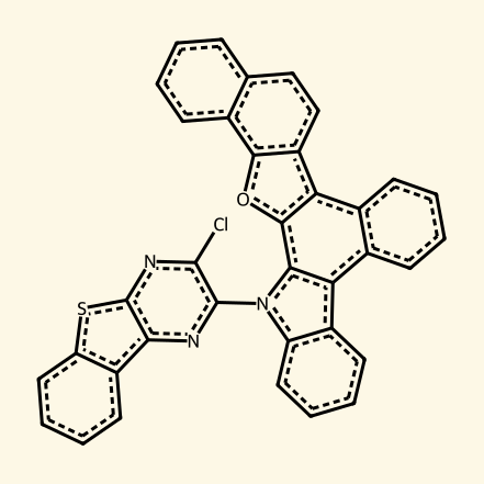 Clc1nc2sc3ccccc3c2nc1-n1c2ccccc2c2c3ccccc3c3c4ccc5ccccc5c4oc3c21